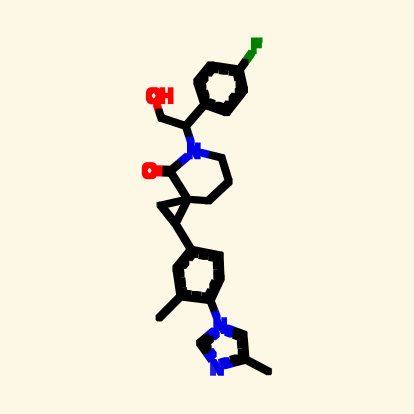 Cc1cn(-c2ccc(C3CC34CCCN(C(CO)c3ccc(F)cc3)C4=O)cc2C)cn1